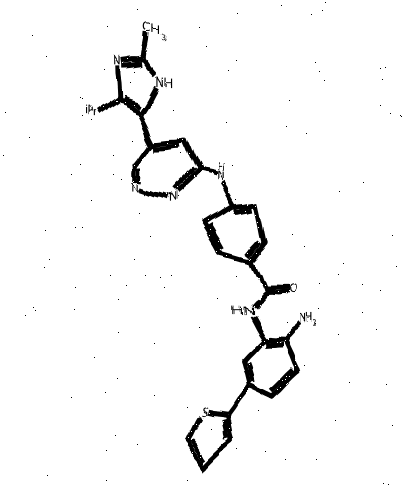 Cc1nc(C(C)C)c(-c2cnnc(Nc3ccc(C(=O)Nc4cc(-c5cccs5)ccc4N)cc3)c2)[nH]1